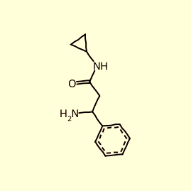 NC(CC(=O)NC1CC1)c1ccccc1